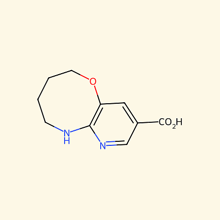 O=C(O)c1cnc2c(c1)OCCCCN2